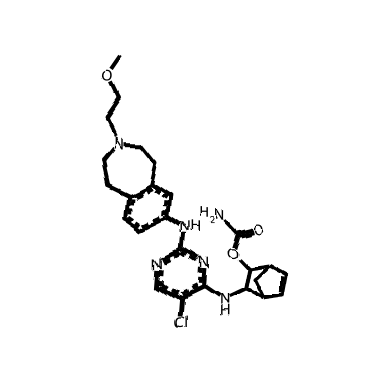 COCCN1CCc2ccc(Nc3ncc(Cl)c(NC4C5C=CC(C5)C4OC(N)=O)n3)cc2CC1